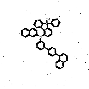 CC1(c2ccccc2)c2ccccc2-c2c(N(c3cccc(-c4ccc(-c5cccc6ccccc56)cc4)c3)c3ccc4ccccc4c3)cccc21